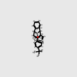 O=S(=O)(c1ccc(C(F)(F)F)cc1)N1C2Cc3[nH]ncc3C1c1ccccc12